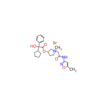 Cc1cc(NC(=O)C[N+]2(C)CCC(OC(=O)C(O)(c3ccccc3)C3CCCC3)C2)no1.[Br-]